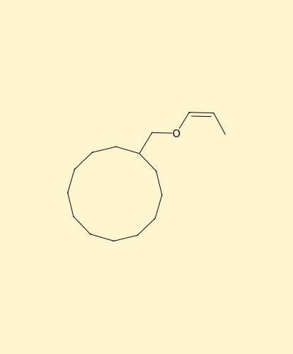 C/C=C\OCC1CCCCCCCCCCC1